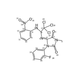 CN1C(=O)C(=NC(Nc2ccccc2[N+](=O)[O-])C(Cl)(Cl)Cl)N(c2ccccc2F)C1=O